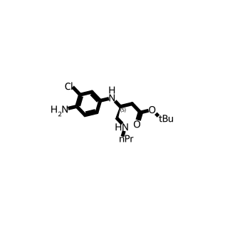 CCCNC[C@H](CC(=O)OC(C)(C)C)Nc1ccc(N)c(Cl)c1